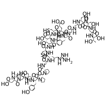 C[C@@H](O)[C@H](NC(=O)CNC(=O)[C@H](CO)NC(=O)[C@H](CC(=O)O)NC(=O)CNC(=O)CNC(=O)[C@H](Cc1ccccc1)NC(=O)[C@H](CCC(=O)O)NC(=O)[C@H](CS)NC(=O)[C@H](CC(=O)O)NC(=O)[C@@H](NC(=O)[C@H](CS)NC(=O)[C@H](CCCNC(=N)N)NC(=O)CNC(=O)[C@@H]1CCCN1C(=O)[C@@H]1CCCN1C(=O)[C@H](Cc1ccc(O)cc1)NC(=O)[C@H](CO)NC(=O)CNC(=O)[C@@H](N)CC(=O)O)[C@@H](C)O)C(=O)O